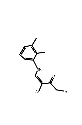 CC(=O)/C(=C/Nc1cccc(C)c1C)C(=O)CC(C)C